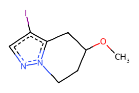 COC1CCn2ncc(I)c2C1